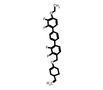 C=CC1CC=C(OCc2ccc(-c3ccc(-c4ccc(OCC)c(F)c4F)cc3)c(F)c2F)CC1